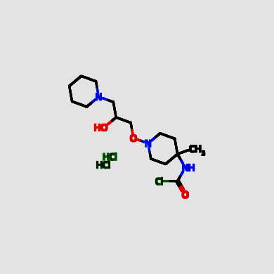 CC1(NC(=O)Cl)CCN(OCC(O)CN2CCCCC2)CC1.Cl.Cl